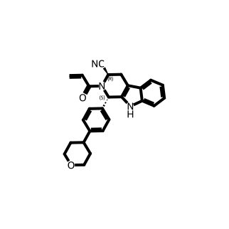 C=CC(=O)N1[C@@H](c2ccc(C3CCOCC3)cc2)c2[nH]c3ccccc3c2C[C@@H]1C#N